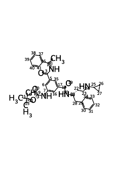 C[C@@H](NC(=O)c1cc(NC(=O)OC(C)(C)C)cc(C(=O)N[C@H](CCNC2CC2)Cc2ccccc2)c1)c1ccccc1